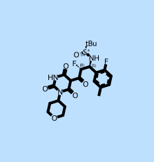 Cc1ccc(F)c([C@H](N[S@+]([O-])C(C)(C)C)[C@@H](F)C(=O)C2C(=O)NC(=O)N(C3CCOCC3)C2=O)c1